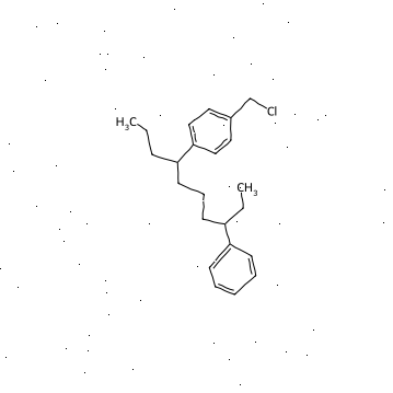 CCCC(CCCC(CC)c1ccccc1)c1ccc(CCl)cc1